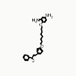 Nc1ccc(OCCCCCCCCOc2ccc(C=CC(=O)c3ccccc3)cc2)c(N)c1